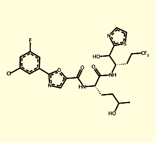 CC(O)CC[C@H](NC(=O)c1cnc(-c2cc(F)cc(Cl)c2)o1)C(=O)N[C@@H](CCC(F)(F)F)C(O)c1nccs1